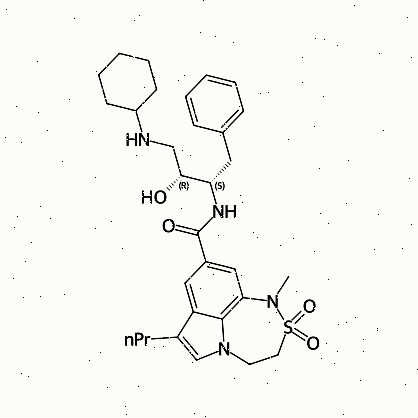 CCCc1cn2c3c(cc(C(=O)N[C@@H](Cc4ccccc4)[C@H](O)CNC4CCCCC4)cc13)N(C)S(=O)(=O)CC2